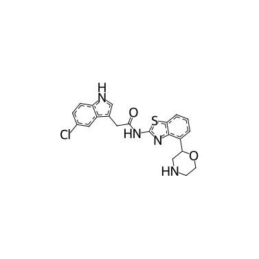 O=C(Cc1c[nH]c2ccc(Cl)cc12)Nc1nc2c(C3CNCCO3)cccc2s1